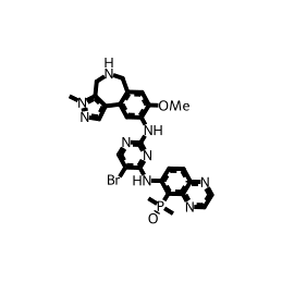 COc1cc2c(cc1Nc1ncc(Br)c(Nc3ccc4nccnc4c3P(C)(C)=O)n1)-c1cnn(C)c1CNC2